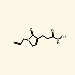 C=CCN1CC=C(CCC(=O)NO)C1=O